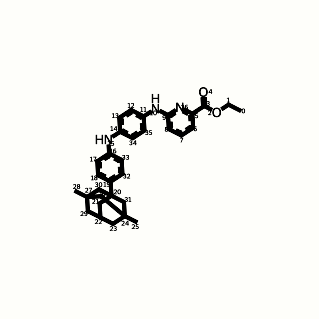 CCOC(=O)c1cccc(Nc2ccc(Nc3ccc(C45CC6CC(C)(CC(C)(C6)C4)C5)cc3)cc2)n1